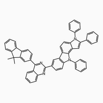 CC1(C)c2ccccc2-c2ccc(-c3nc(-c4ccc5c(c4)c4ccc6c(cc(-c7ccccc7)n6-c6ccccc6)c4n5-c4ccccc4)nc4ccccc34)cc21